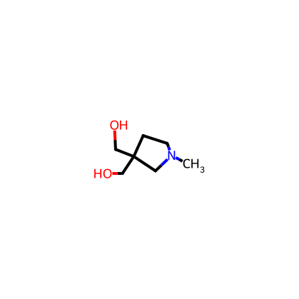 CN1CCC(CO)(CO)C1